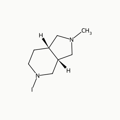 CN1C[C@H]2CCN(I)C[C@H]2C1